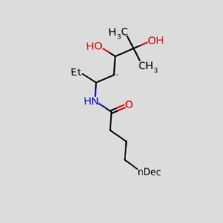 CCCCCCCCCCCCCC(=O)NC([CH]C(O)C(C)(C)O)CC